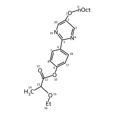 CCCCCCCCOc1cnc(-c2ccc(OC(=O)C(C)OCC)cc2)nc1